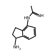 CC(=N)Nc1cccc2c1CCC2N